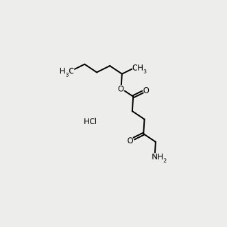 CCCCC(C)OC(=O)CCC(=O)CN.Cl